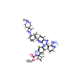 CC(=O)N1CCC2(CC1)CN(c1cccc(-c3ccc4nc(-c5cccnc5N)n(-c5ccc(C6(NC(=O)OC(C)(C)C)CCC6)cc5)c4n3)c1F)C2